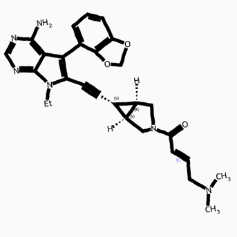 CCn1c(C#C[C@@H]2[C@H]3CN(C(=O)/C=C/CN(C)C)C[C@@H]23)c(-c2cccc3c2OCO3)c2c(N)ncnc21